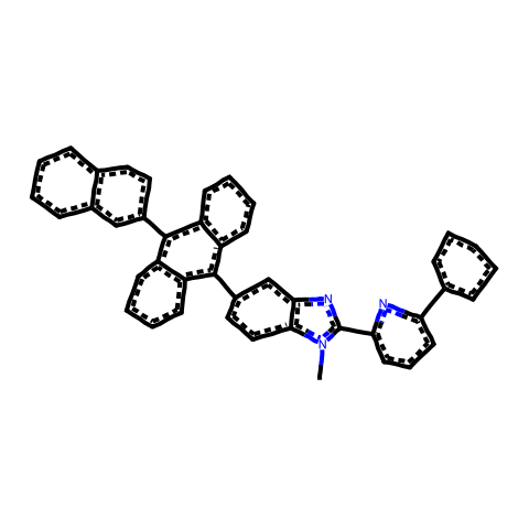 Cn1c(-c2cccc(-c3ccccc3)n2)nc2cc(-c3c4ccccc4c(-c4ccc5ccccc5c4)c4ccccc34)ccc21